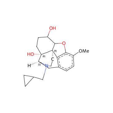 COc1ccc2c3c1OC1C(O)CC[C@]4(O)[C@H](C2)N(CC2CC2)CC[C@@]314